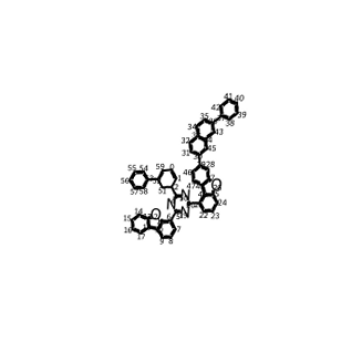 C1=CC(c2nc(-c3cccc4c3oc3ccccc34)nc(-c3cccc4oc5cc(-c6ccc7ccc(-c8ccccc8)cc7c6)ccc5c34)n2)CC(c2ccccc2)=C1